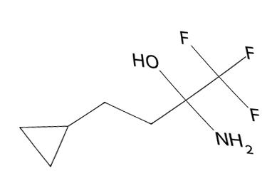 NC(O)(CCC1CC1)C(F)(F)F